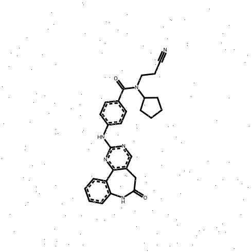 N#CCCN(C(=O)c1ccc(Nc2ncc3c(n2)-c2ccccc2NC(=O)C3)cc1)C1CCCC1